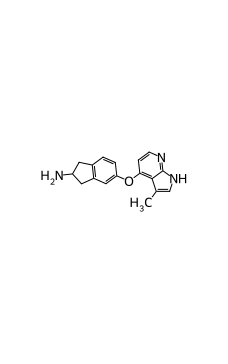 Cc1c[nH]c2nccc(Oc3ccc4c(c3)CC(N)C4)c12